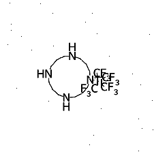 F[C](F)(F)[Ti]([N]1CCCNCCCNCCCNCCC1)([C](F)(F)F)([C](F)(F)F)[C](F)(F)F